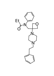 CCC(=O)N(CC1(N2CCN(CCc3ccccc3)CC2)COC1)c1ccccc1